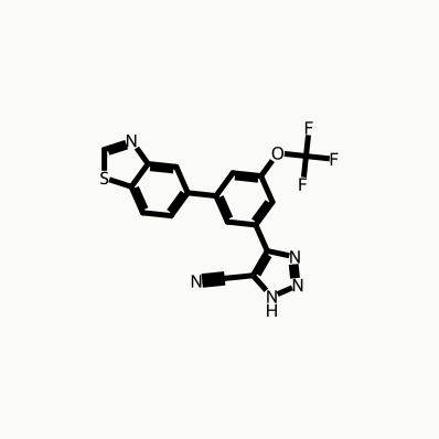 N#Cc1[nH]nnc1-c1cc(OC(F)(F)F)cc(-c2ccc3scnc3c2)c1